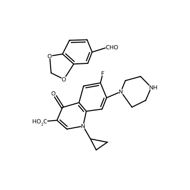 O=C(O)c1cn(C2CC2)c2cc(N3CCNCC3)c(F)cc2c1=O.O=Cc1ccc2c(c1)OCO2